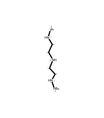 CCCCNCCNCCNC(C)C